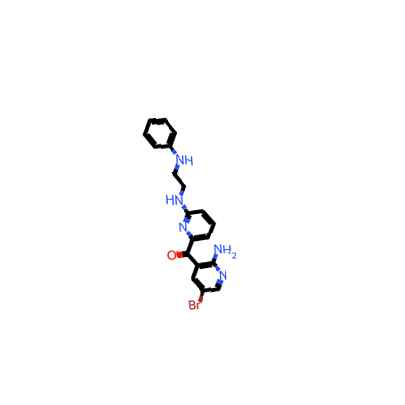 Nc1ncc(Br)cc1C(=O)c1cccc(NCCNc2ccccc2)n1